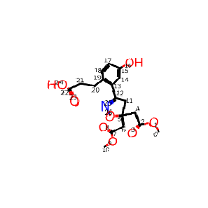 COC(=O)CC1(CC(=O)OC)CC(c2cc(O)ccc2CCC(=O)O)=NO1